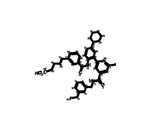 Cc1cc(C(=O)NCc2cccc(CF)c2)cc(-c2cc(N3CCCCC3)ccc2NC(=O)c2cccc(CSCCC(=O)O)c2)n1